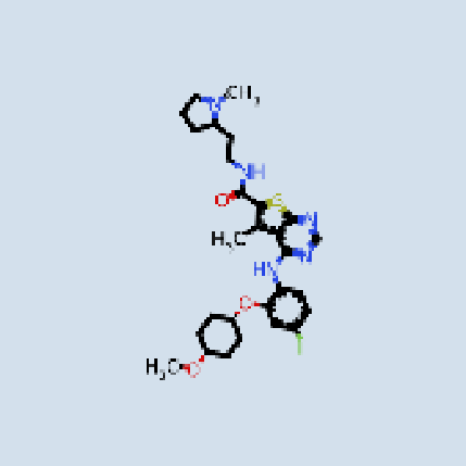 CO[C@H]1CC[C@H](Oc2cc(F)ccc2Nc2ncnc3sc(C(=O)NCCC4CCCN4C)c(C)c23)CC1